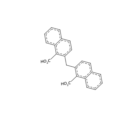 O=C(O)c1c(Cc2ccc3ccccc3c2C(=O)O)ccc2ccccc12